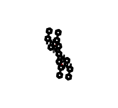 Cc1ccc(-c2ccccc2)cc1N(c1cccc(-c2ccccc2)c1)c1cccc2c1c1cccc3c4cc5c(cc4n2c31)c1cccc2c3c(N(c4cc(-c6ccccc6)ccc4C)c4cc(-c6ccccc6)ccc4C)cccc3n5c12